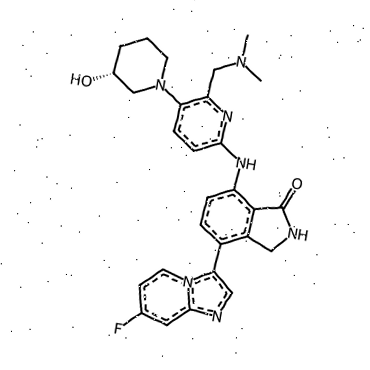 CN(C)Cc1nc(Nc2ccc(-c3cnc4cc(F)ccn34)c3c2C(=O)NC3)ccc1N1CCC[C@@H](O)C1